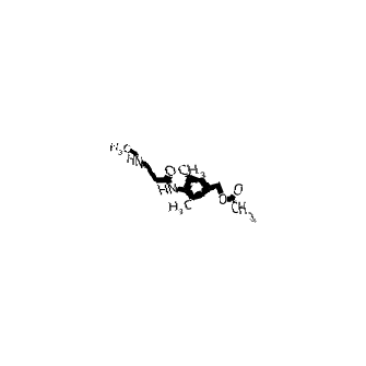 CCNCCC(=O)Nc1c(C)cc(COC(C)=O)cc1C